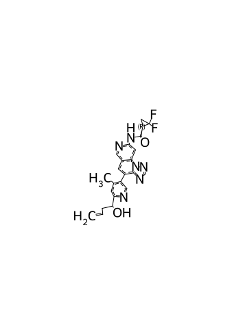 C=CCC(O)c1cc(C)c(-c2cc3cnc(NC(=O)[C@H]4CC4(F)F)cc3n3ncnc23)cn1